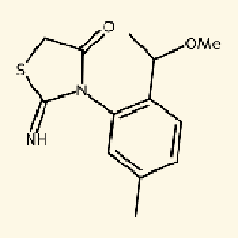 COC(C)c1ccc(C)cc1N1C(=N)SCC1=O